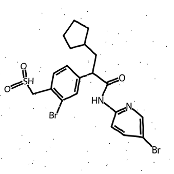 O=C(Nc1ccc(Br)cn1)C(CC1CCCC1)c1ccc(C[SH](=O)=O)c(Br)c1